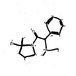 CCC1(C)CCCN1C(=O)C(c1ccccc1)N(C)C